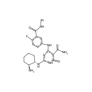 CC(C)NC(=O)c1cc(Nc2nc(N[C@H]3CCCC[C@@H]3N)[nH]c(=O)c2C(N)=O)ccc1F